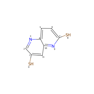 Sc1cnc2ccc(S)nc2c1